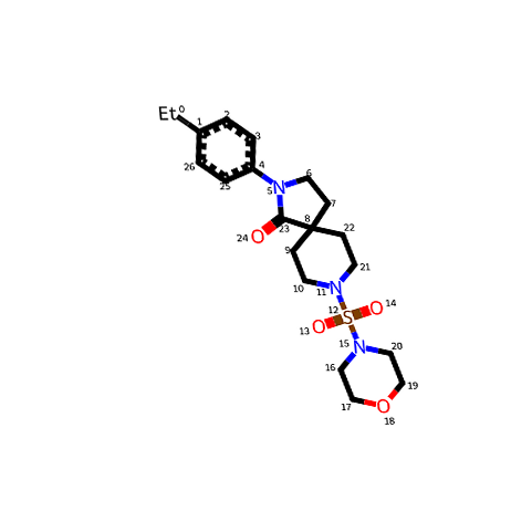 CCc1ccc(N2CCC3(CCN(S(=O)(=O)N4CCOCC4)CC3)C2=O)cc1